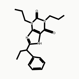 CCCn1c(=O)c2[nH]c(C(CC)c3ccccc3)nc2n(CCC)c1=O